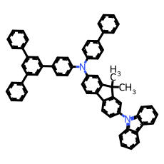 CC1(C)c2cc(N(c3ccc(-c4ccccc4)cc3)c3ccc(-c4cc(-c5ccccc5)cc(-c5ccccc5)c4)cc3)ccc2-c2ccc(-n3c4ccccc4c4ccccc43)cc21